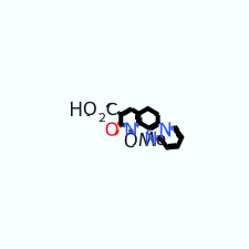 COn1c2c(cc(C(=O)O)c1=O)CCc1c-2nc2ccccn12